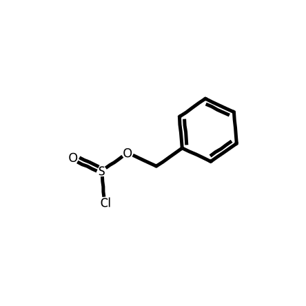 O=S(Cl)OCc1ccccc1